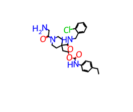 CCc1ccc(NC(=O)OCCC2(C(=O)NCc3ccccc3Cl)CCN(C(=O)CN)CC2)cc1